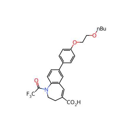 CCCCOCCOc1ccc(-c2ccc3c(c2)C=C(C(=O)O)CCN3C(=O)C(F)(F)F)cc1